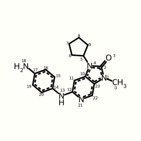 Cn1c(=O)n(C2CCCC2)c2cc(Nc3ccc(N)cc3)ncc21